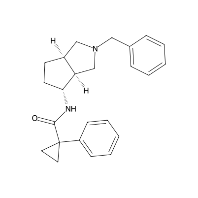 O=C(N[C@@H]1CC[C@H]2CN(Cc3ccccc3)C[C@H]21)C1(c2ccccc2)CC1